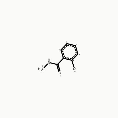 CNC(=O)c1ccccc1[O]